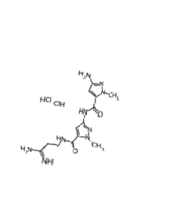 Cl.Cl.Cn1nc(NC(=O)c2cc(N)nn2C)cc1C(=O)NCCC(=N)N